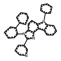 c1ccc(-c2ccccc2-n2c(-c3cccnc3)nc3c4c5ccccc5n(-c5ccccc5)c4ccc32)cc1